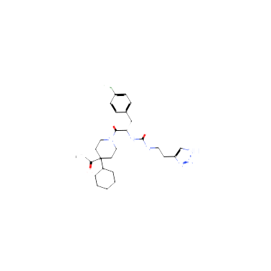 CCCC(=O)C1(C2CCCCC2)CCN(C(=O)[C@@H](Cc2ccc(Cl)cc2)NC(=O)NCCc2c[nH]nn2)CC1